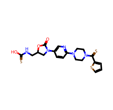 O=C1OC(CNC(O)=S)CN1c1ccc(N2CCN(C(=S)c3cccs3)CC2)nc1